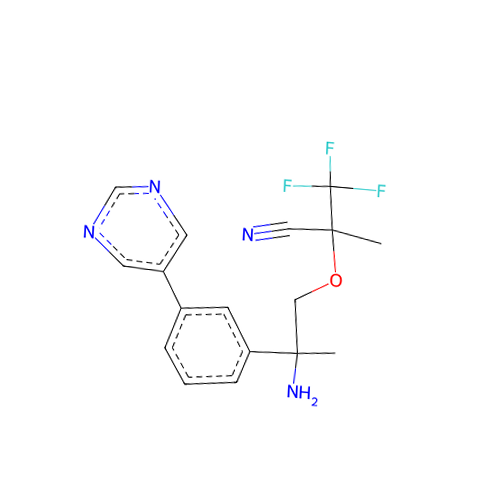 CC(N)(COC(C)(C#N)C(F)(F)F)c1cccc(-c2cncnc2)c1